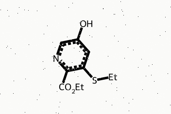 CCOC(=O)c1ncc(O)cc1SCC